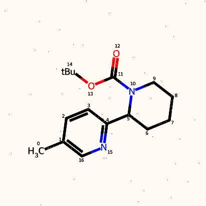 Cc1ccc(C2CCCCN2C(=O)OC(C)(C)C)nc1